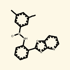 Cc1cc(C)cc([S+]([O-])Nc2ccccc2-c2nc3ncccc3o2)c1